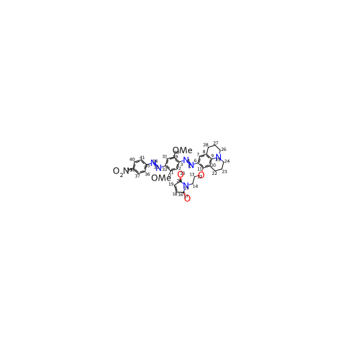 COc1cc(/N=N/c2cc3c4c(c2OCCN2C(=O)C=CC2=O)CCCN4CCC3)c(OC)cc1/N=N/c1ccc([N+](=O)[O-])cc1